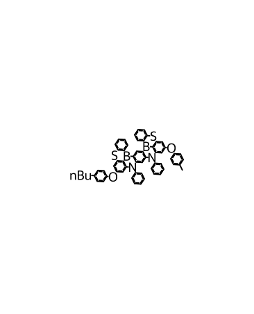 CCCCc1ccc(Oc2cc3c4c(c2)N(c2ccccc2)c2cc5c(cc2B4c2ccccc2S3)B2c3ccccc3Sc3cc(Oc4ccc(C)cc4)cc(c32)N5c2ccccc2)cc1